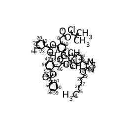 CC(C)C(Cl)OC(=O)Cc1ccccc1OC(=O)c1ccccc1.CCCCCCOc1nsnc1C1=CCC[N+](C)(C(OC(=O)Cc2ccccc2OC(=O)c2ccccc2)C(C)C)C1.[I-]